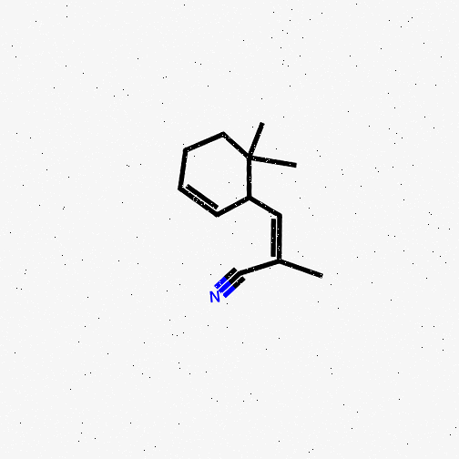 CC(C#N)=CC1C=CCCC1(C)C